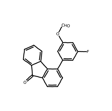 O=COc1cc(F)cc(-c2cccc3c2-c2ccccc2C3=O)c1